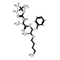 CCCCCO[C@@H](C)[C@@H](Cc1ccccc1)OC(=O)[C@H](C)NC(=O)OC(C)(C)C